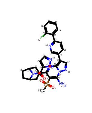 CS(=O)(=O)c1c(C2CC3CCC(C2)N3C(=O)c2ccn[nH]2)nc2c(-c3ccc(-c4ccccc4F)nc3)cnn2c1N